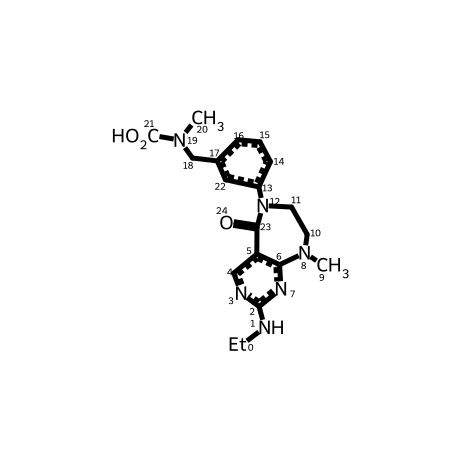 CCNc1ncc2c(n1)N(C)CCN(c1cccc(CN(C)C(=O)O)c1)C2=O